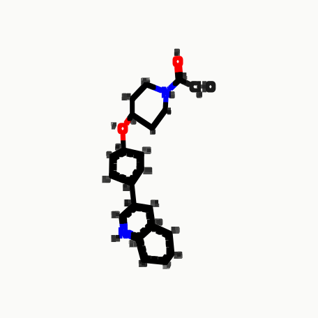 O=CC(=O)N1CCC(Oc2ccc(-c3cnc4ccccc4c3)cc2)CC1